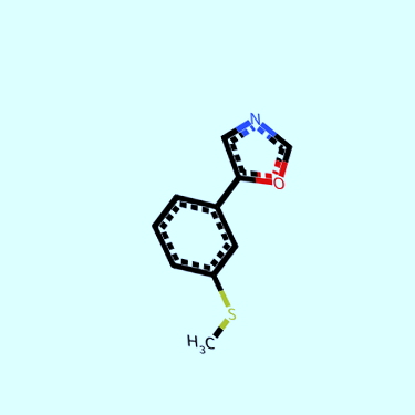 CSc1cccc(-c2cnco2)c1